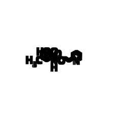 CC(C)CC(NC(=O)OCCc1ccccn1)C(=O)O